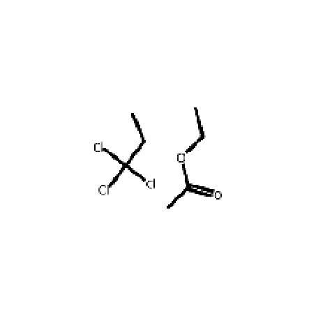 CCC(Cl)(Cl)Cl.CCOC(C)=O